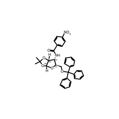 CC1(C)O[C@H]2O[C@H](COC(c3ccccc3)(c3ccccc3)c3ccccc3)[C@@H](NC(=O)c3ccc([N+](=O)[O-])cc3)[C@H]2O1